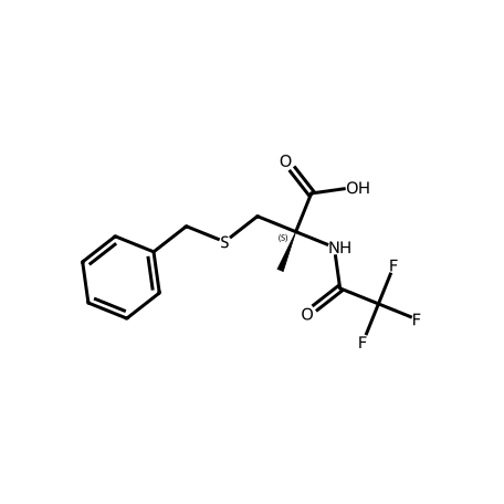 C[C@](CSCc1ccccc1)(NC(=O)C(F)(F)F)C(=O)O